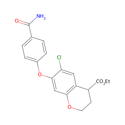 CCOC(=O)C1CCOc2cc(Oc3ccc(C(N)=O)cc3)c(Cl)cc21